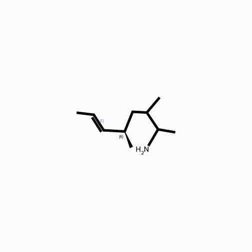 C/C=C/[C@H](C)CC(C)C(C)N